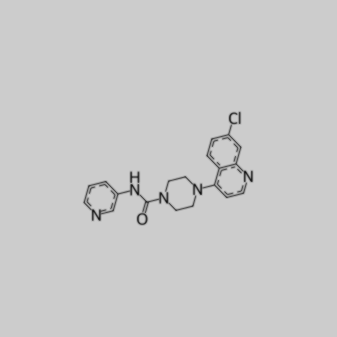 O=C(Nc1cccnc1)N1CCN(c2ccnc3cc(Cl)ccc23)CC1